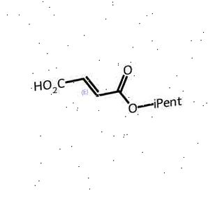 CCCC(C)OC(=O)/C=C/C(=O)O